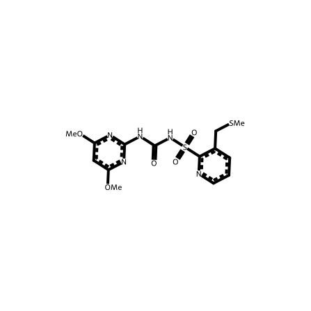 COc1cc(OC)nc(NC(=O)NS(=O)(=O)c2ncccc2CSC)n1